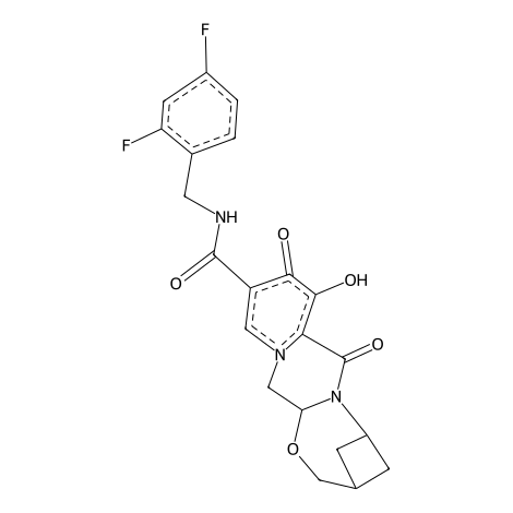 O=C(NCc1ccc(F)cc1F)c1cn2c(c(O)c1=O)C(=O)N1C3CC(COC1C2)C3